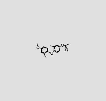 COc1ccc(Oc2ccc(OC(C)=O)cc2C)c(C)c1